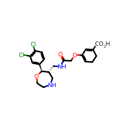 O=C(COC1=CCCC(C(=O)O)=C1)NC[C@@H]1CNCCO[C@H]1c1ccc(Cl)c(Cl)c1